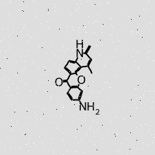 C=C1C=C(C)c2c(ccc3c(=O)c4ccc(N)cc4oc23)N1